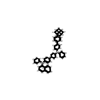 c1ccc(N(c2ccc(-c3ccc(N(c4ccccc4)c4cccc5ccccc45)cc3)cc2)c2ccc(-c3ccc(C45CC6CC7CC(C4)C765)cc3)cc2)cc1